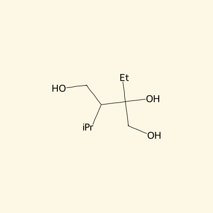 CCC(O)(CO)C(CO)C(C)C